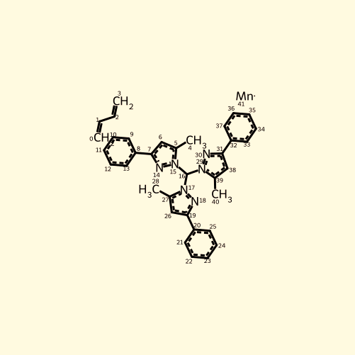 C=CC=C.Cc1cc(-c2ccccc2)nn1C(n1nc(-c2ccccc2)cc1C)n1nc(-c2ccccc2)cc1C.[Mn]